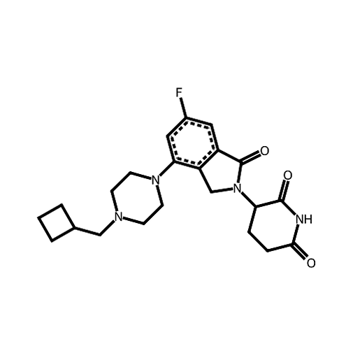 O=C1CCC(N2Cc3c(cc(F)cc3N3CCN(CC4CCC4)CC3)C2=O)C(=O)N1